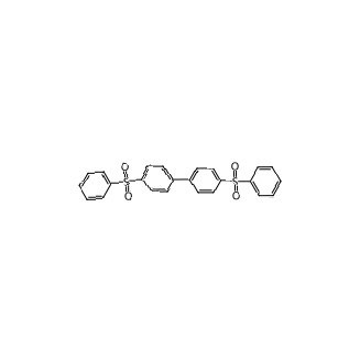 O=S(=O)(c1ccccc1)c1ccc(-c2ccc(S(=O)(=O)c3ccccc3)cc2)cc1